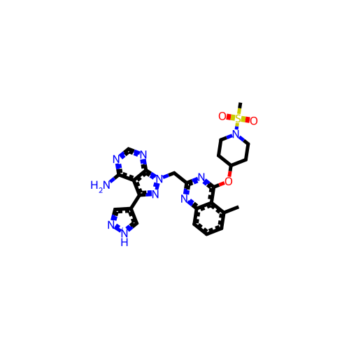 Cc1cccc2nc(Cn3nc(-c4cn[nH]c4)c4c(N)ncnc43)nc(OC3CCN(S(C)(=O)=O)CC3)c12